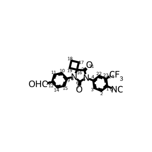 [C-]#[N+]c1ccc(N2C(=O)N(c3ccc(C=O)cc3)C3(CCC3)C2=O)cc1C(F)(F)F